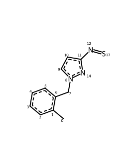 Cc1ccccc1Cn1ccc(N=S)n1